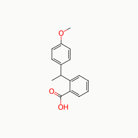 COc1ccc(C(C)c2ccccc2C(=O)O)cc1